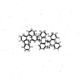 c1ccc(-c2nc3cccc(-n4c5ccccc5c5c6cccc7c8cccc9c%10ccccc%10n(c(cc54)c76)c89)c3nc2-c2ccccc2)cc1